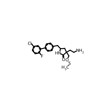 CSOCC1(CCN)CC(Cc2ccc(-c3cc(Cl)ccc3F)cc2)NC1=O